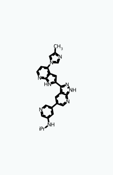 Cc1cn(-c2ccnc3[nH]c(-c4n[nH]c5ncc(-c6cncc(NC(C)C)c6)cc45)cc23)cn1